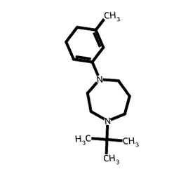 CC1=CC(N2CCCN(C(C)(C)C)CC2)=CCC1